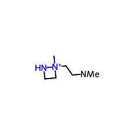 CNCC[N+]1(C)CCN1